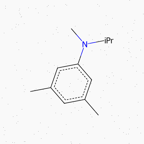 Cc1cc(C)cc(N(C)C(C)C)c1